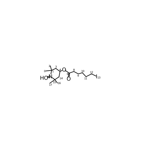 CC1(C)CC(OC(=O)CCCCCI)CC(C)(C)N1O